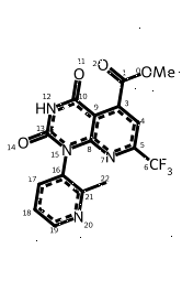 COC(=O)c1cc(C(F)(F)F)nc2c1c(=O)[nH]c(=O)n2-c1cccnc1C